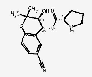 CC1(C)Oc2ccc(C#N)cc2[C@@H](NC(=O)[C@@H]2CCCN2)[C@@H]1O